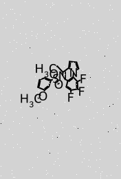 CCC1c2cccn2-c2c(cc(F)c(F)c2F)N1S(=O)(=O)c1cccc(OC)c1